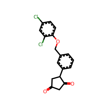 O=C1CC(=O)C(c2cccc(COc3ccc(Cl)cc3Cl)c2)C1